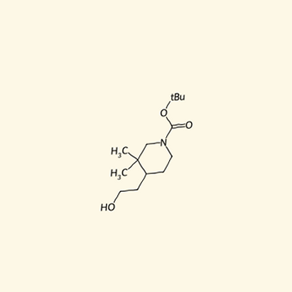 CC(C)(C)OC(=O)N1CCC(CCO)C(C)(C)C1